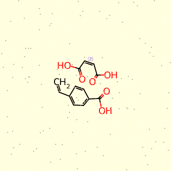 C=Cc1ccc(C(=O)O)cc1.O=C(O)/C=C\C(=O)O